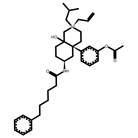 C=CC[N@@+]1(CC(C)C)CC[C@]2(c3cccc(OC(C)=O)c3)C[C@@H](NC(=O)CCCCCc3ccccc3)CCC2(O)C1